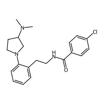 CN(C)C1CCN(c2ccccc2CCNC(=O)c2ccc(Cl)cc2)C1